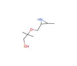 CC1NC1COC(C)(C)CO